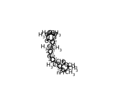 CCCC1(C)CC(C)(C)OC(=O)c2cc(C(C)(C)c3ccc(Oc4ccc(C(C)(C)c5ccc6c(c5)C(=O)OC(C)(C)C(C)(C)C(=O)O6)cc4)cc3)ccc2O1